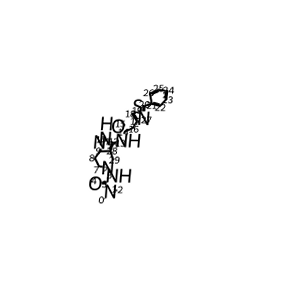 CN(C)C(=O)NN1CCc2n[nH]c(NC(=O)Cc3csc(-c4ccccc4)n3)c2C1